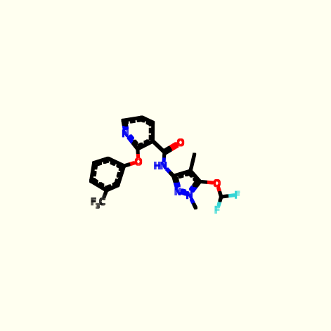 Cc1c(NC(=O)c2cccnc2Oc2cccc(C(F)(F)F)c2)nn(C)c1OC(F)F